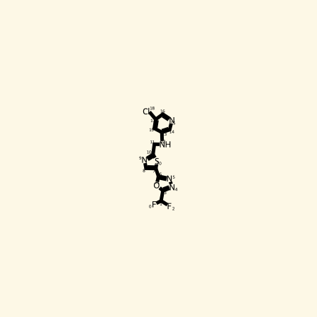 FC(F)c1nnc(-c2cnc(CNc3cncc(Cl)c3)s2)o1